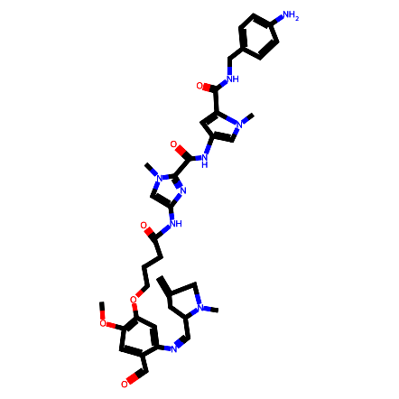 C=C1CC(/C=N\c2cc(OCCCC(=O)Nc3cn(C)c(C(=O)Nc4cc(C(=O)NCc5ccc(N)cc5)n(C)c4)n3)c(OC)cc2C=O)N(C)C1